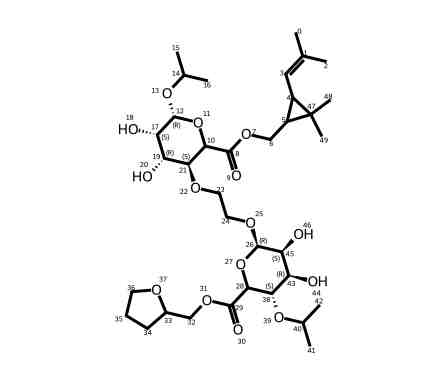 CC(C)=CC1C(COC(=O)C2O[C@@H](OC(C)C)[C@@H](O)[C@@H](O)[C@@H]2OCCO[C@@H]2OC(C(=O)OCC3CCCO3)[C@@H](OC(C)C)[C@H](O)[C@@H]2O)C1(C)C